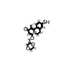 Cc1c2n(c(OC[C@@H]3COCCO3)cc1=O)CCc1cc(S)ccc1-2